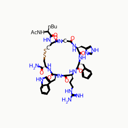 CCCC[C@H](NC(C)=O)C(=O)N[C@H]1CSSC[C@@H](C(N)=O)NC(=O)[C@H](Cc2c[nH]c3ccccc23)NC(=O)[C@H](CCCNC(=N)N)NC(=O)[C@@H](Cc2ccccc2)NC(=O)[C@H](Cc2c[nH]cn2)NC(=O)CNC1=O